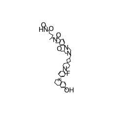 CC(CCC(=O)NC=O)N1Cc2c(ccc3c2OCC2CN(CC4CC5(CCN(c6ccc([C@H]7CCCc8cc(O)ccc87)cc6F)CC5)C4)CCN32)C1=O